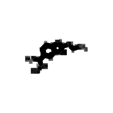 CCOc1nc2ccc(C(N)NO)cc2[nH]1